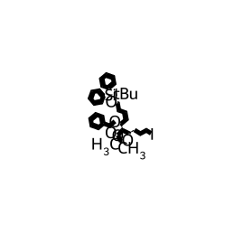 CC1(C)O[C@@H](CCCI)[C@@H](C(/C=C\CCO[Si](c2ccccc2)(c2ccccc2)C(C)(C)C)OC(=O)c2ccccc2)O1